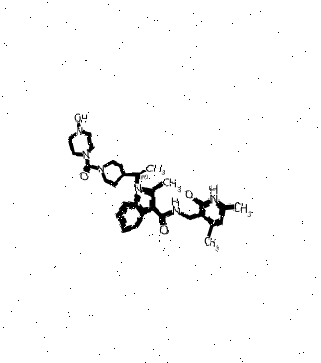 Cc1cc(C)c(CNC(=O)c2c(C)n([C@H](C)C3CCN(C(=O)N4CCN(O)CC4)CC3)c3ccccc23)c(=O)[nH]1